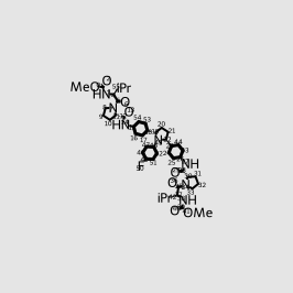 COC(=O)N[C@H](C(=O)N1CCC[C@H]1C(=O)Nc1ccc([C@@H]2CC[C@@H](c3ccc(NC(=O)[C@@H]4CCCN4C(=O)[C@@H](NC(=O)OC)C(C)C)cc3)N2c2ccc(F)cc2)cc1)C(C)C